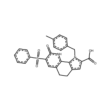 Cc1ccc(Cn2c(C(=O)O)cc3c2-c2[nH]c(=O)c(S(=O)(=O)c4ccccc4)cc2CC3)cc1